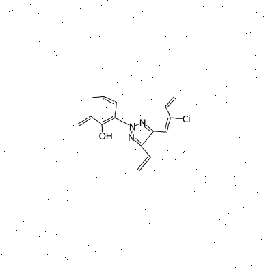 C=C/C(O)=C(\C=C/C)n1nc(C=C)c(/C=C(/Cl)C=C)n1